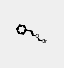 BrCOC=Cc1ccccc1